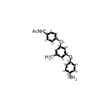 CC(=O)Nc1ccc(Oc2cc(C)cc(Oc3ccc(N)cc3)c2)cc1